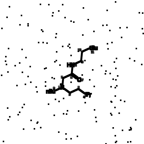 CCCCN(CCC(C)C)CC(=O)NCCC(C)(C)C